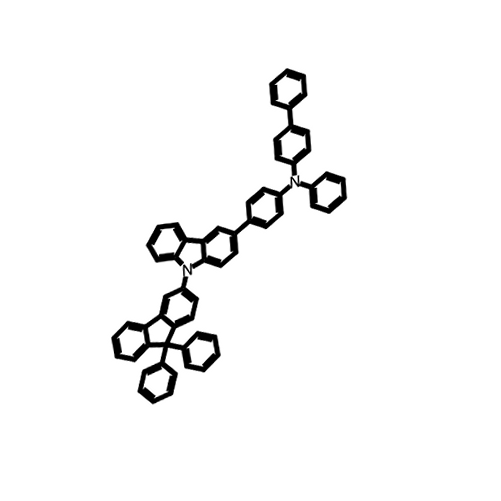 c1ccc(-c2ccc(N(c3ccccc3)c3ccc(-c4ccc5c(c4)c4ccccc4n5-c4ccc5c(c4)-c4ccccc4C5(c4ccccc4)c4ccccc4)cc3)cc2)cc1